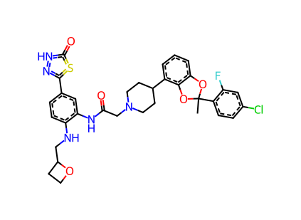 CC1(c2ccc(Cl)cc2F)Oc2cccc(C3CCN(CC(=O)Nc4cc(-c5n[nH]c(=O)s5)ccc4NCC4CCO4)CC3)c2O1